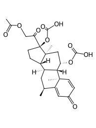 CC(=O)OCC(=O)[C@@]1(OC(=O)O)CC[C@H]2[C@@H]3C[C@H](C)C4=CC(=O)C=C[C@]4(C)[C@H]3[C@@H](OC(=O)O)C[C@@]21C